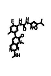 CNc1ncc2cc(-c3cc(NC(=O)Nc4cc(C(C)C)on4)c(F)cc3C)c(=O)n(C)c2n1